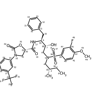 CC[C@H](C)CN(C[C@@H](O)[C@H](Cc1ccccc1)NC(=O)[C@@H]1CN(c2cccc(C(F)(F)F)c2)C(=O)O1)S(=O)(=O)c1ccc(OC)c(F)c1